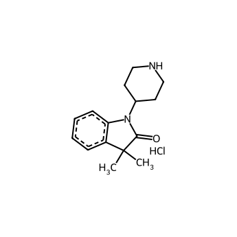 CC1(C)C(=O)N(C2CCNCC2)c2ccccc21.Cl